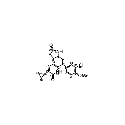 COc1ccc(C(C[C@H]2CCC(=O)N2)c2ccc(C3CC3)c(=O)[nH]2)cc1Cl